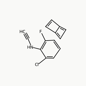 C#CNc1c(F)cccc1Cl.c1cc2ccc1-2